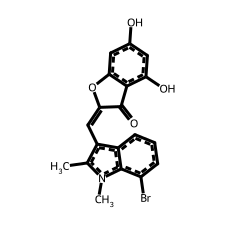 Cc1c(/C=C2/Oc3cc(O)cc(O)c3C2=O)c2cccc(Br)c2n1C